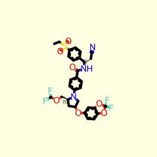 CCS(=O)(=O)c1ccc([C@H](CC#N)NC(=O)c2ccc(N3CC(Oc4ccc5c(c4)OC(F)(F)O5)C[C@H]3COC(F)F)cc2)cc1